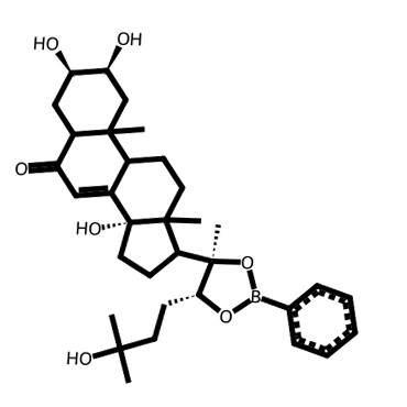 CC(C)(O)CC[C@H]1OB(c2ccccc2)O[C@]1(C)C1CC[C@@]2(O)C3=CC(=O)C4C[C@@H](O)[C@@H](O)CC4(C)C3CCC12C